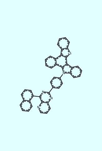 c1ccc2c(-c3nc(-c4ccc(-n5c6ccccc6c6c7sc8ccccc8c7c7ccccc7c65)cc4)nc4cccnc34)cccc2c1